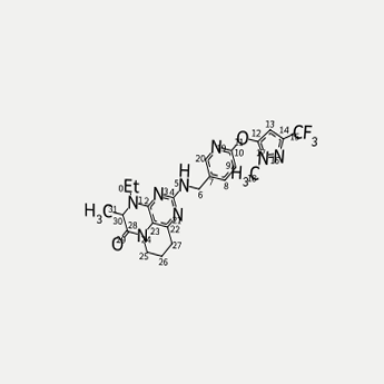 CCN1c2nc(NCc3ccc(Oc4cc(C(F)(F)F)nn4C)nc3)nc3c2N(CCC3)C(=O)C1C